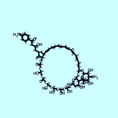 CC1\C=C/C=C\C=C\C=C\C=C\C=C\C=C\C(OC2OC(C)C(O)C(N)C2O)CC2OC(O)(CC(O)CC(O)CC(O)CC(O)CC(=O)CC(O)CC(=O)OC1C(C)CCC(O)CC(=O)c1ccc(N)cc1)CC(O)C2C(=O)O